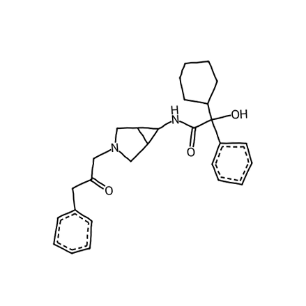 O=C(Cc1ccccc1)CN1CC2C(C1)C2NC(=O)C(O)(c1ccccc1)C1CCCCC1